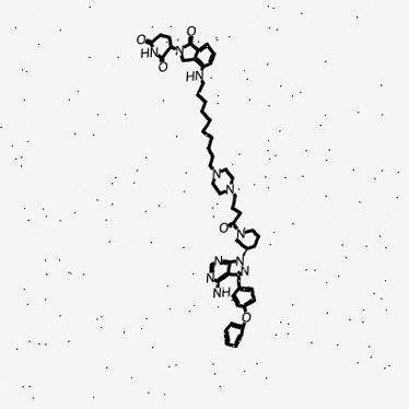 Nc1ncnc2c1c(-c1ccc(Oc3ccccc3)cc1)nn2[C@@H]1CCCN(C(=O)CCCN2CCN(CCCCCCCCCCNc3cccc4c3CN(C3CCC(=O)NC3=O)C4=O)CC2)C1